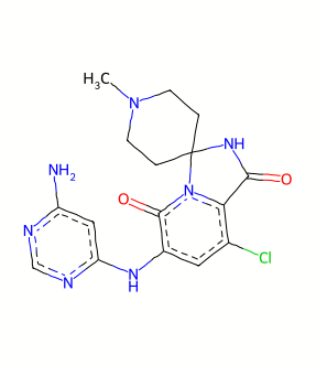 CN1CCC2(CC1)NC(=O)c1c(Cl)cc(Nc3cc(N)ncn3)c(=O)n12